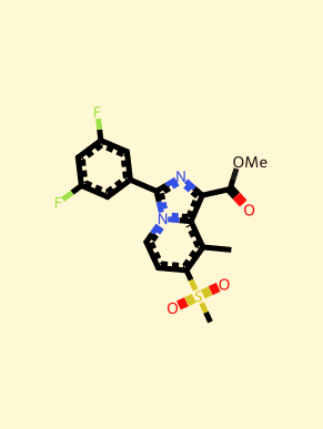 COC(=O)c1nc(-c2cc(F)cc(F)c2)n2ccc(S(C)(=O)=O)c(C)c12